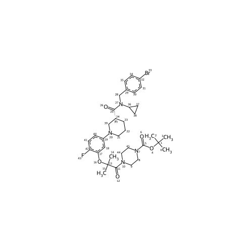 CC(C)(C)OC(=O)N1CCN(C(=O)C(C)(C)Oc2cc(N3CCC[C@@H](C(=O)N(Cc4ccc(Br)cc4)C4CC4)C3)ccc2F)CC1